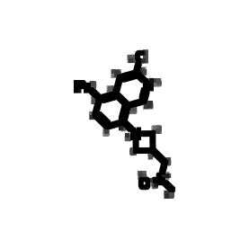 CC(C)c1ccc(N2CC(C[S+](C)[O-])C2)c2cnc(Cl)cc12